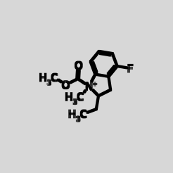 CCC1Cc2c(F)cccc2[N+]1(C)C(=O)OC